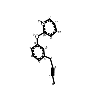 CC#CCc1cccc(Oc2ccccn2)c1